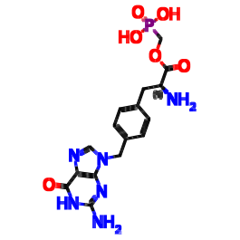 Nc1nc2c(ncn2Cc2ccc(C[C@H](N)C(=O)OCP(=O)(O)O)cc2)c(=O)[nH]1